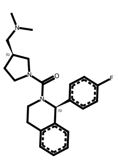 CN(C)C[C@@H]1CCN(C(=O)N2CCc3ccccc3[C@@H]2c2ccc(F)cc2)C1